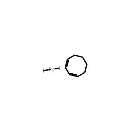 C1=CCCCCC=C1.[I][Pd][I]